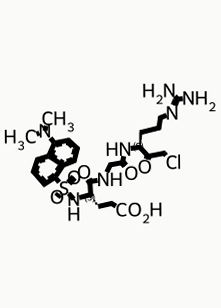 CN(C)c1cccc2c(S(=O)(=O)N[C@@H](CCC(=O)O)C(=O)NCC(=O)N[C@@H](CCCN=C(N)N)C(=O)CCl)cccc12